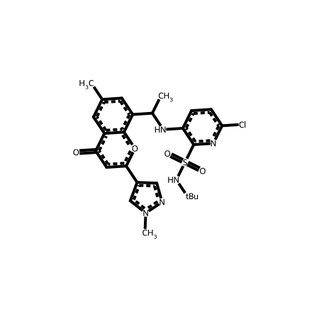 Cc1cc(C(C)Nc2ccc(Cl)nc2S(=O)(=O)NC(C)(C)C)c2oc(-c3cnn(C)c3)cc(=O)c2c1